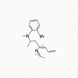 C=C/C=C(CC(C)N(C)c1ccccc1C(C)C)\N=C/C